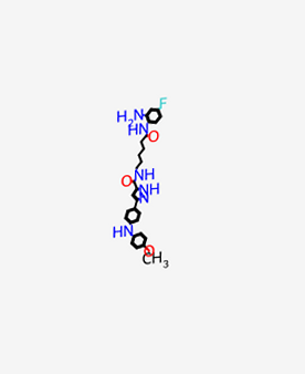 COc1ccc(Nc2ccc(-c3cc(C(=O)NCCCCCC(=O)Nc4ccc(F)cc4N)[nH]n3)cc2)cc1